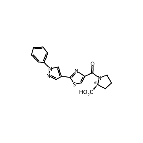 O=C(O)[C@@H]1CCCN1C(=O)c1csc(-c2cnn(-c3ccccc3)c2)n1